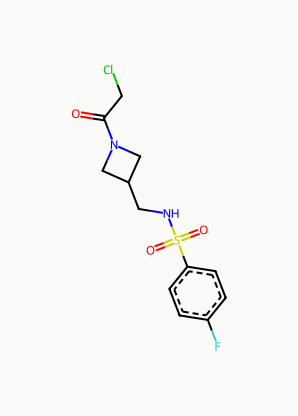 O=C(CCl)N1CC(CNS(=O)(=O)c2ccc(F)cc2)C1